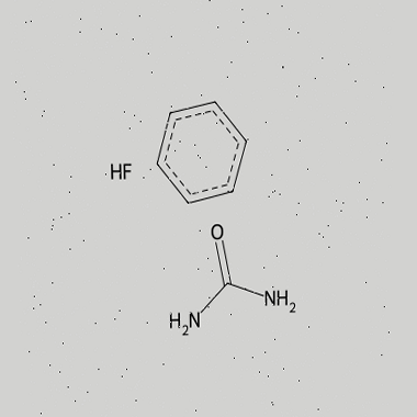 F.NC(N)=O.c1ccccc1